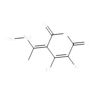 CCCCN/C(C)=C1\C(=O)OC(=O)C(C(C)=O)=C1O